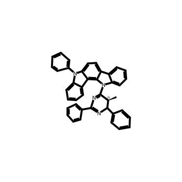 C[C@@H]1C(n2c3ccccc3c3ccc4c(c5ccccc5n4-c4ccccc4)c32)=NC(c2ccccc2)=NC1c1ccccc1